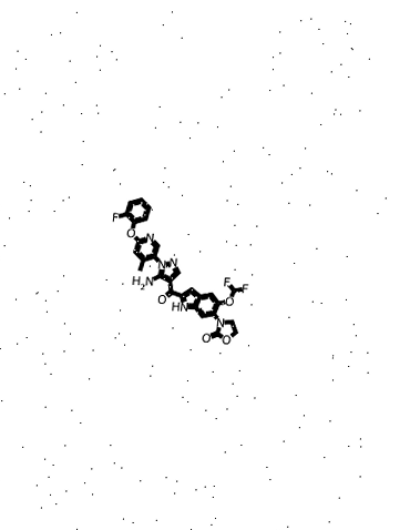 Cc1cc(Oc2ccccc2F)ncc1-n1ncc(C(=O)c2cc3cc(OC(F)F)c(N4CCOC4=O)cc3[nH]2)c1N